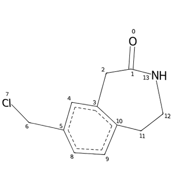 O=C1Cc2cc(CCl)ccc2CCN1